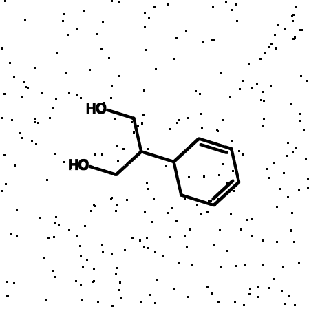 OCC(CO)C1C=CC=CC1